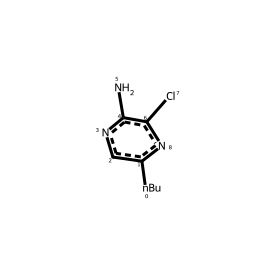 CCCCc1cnc(N)c(Cl)n1